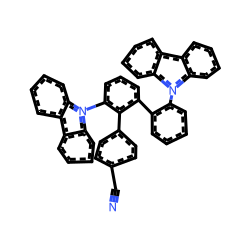 N#Cc1ccc(-c2c(-c3ccccc3-n3c4ccccc4c4ccccc43)cccc2-n2c3ccccc3c3ccccc32)cc1